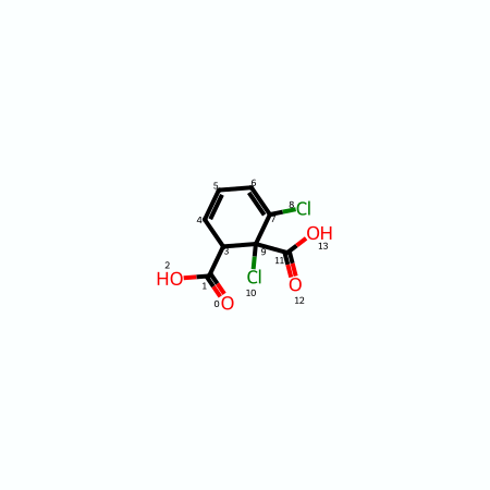 O=C(O)C1C=CC=C(Cl)C1(Cl)C(=O)O